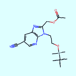 CC(=O)OCc1nc2cc(C#N)cnc2n1CCO[Si](C)(C)C(C)(C)C